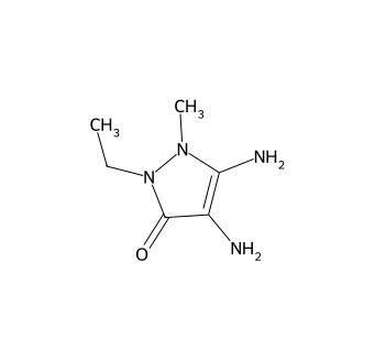 CCn1c(=O)c(N)c(N)n1C